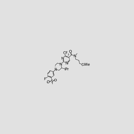 COCCCN(C)C(=O)c1cnc(N2CCN(c3ccc(F)c(S(C)(=O)=O)c3)CC2C(C)C)nc1C(F)(F)F